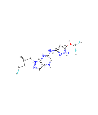 C=C(CCF)Cn1ncc2ncc(Nc3cc(OC(F)F)[nH]n3)nc21